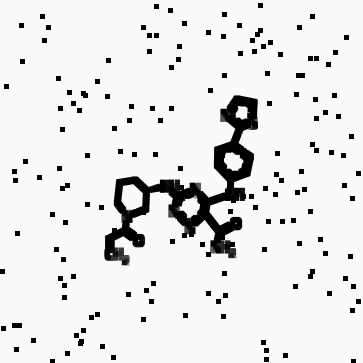 C=CC(=O)N1CCC[C@@H](Nc2nnc(C(N)=O)c(Nc3ccc(-c4nccs4)cc3)n2)C1